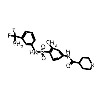 Cc1cc(NC(=O)C2CCNCC2)ccc1S(=O)(=O)Nc1cccc(C(F)(F)P)c1